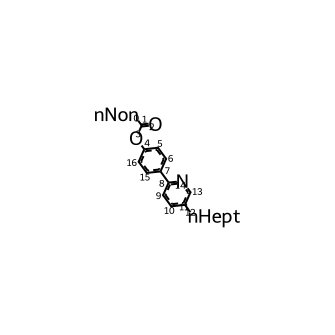 CCCCCCCCCC(=O)Oc1ccc(-c2ccc(CCCCCCC)cn2)cc1